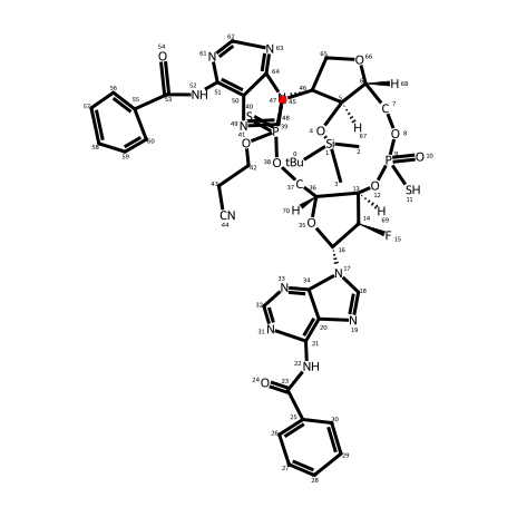 CC(C)(C)[Si](C)(C)O[C@@H]1[C@H]2COP(=O)(S)O[C@H]3[C@@H](F)[C@H](n4cnc5c(NC(=O)c6ccccc6)ncnc54)O[C@@H]3COP(=S)(OCCC#N)O[C@@]1(n1cnc3c(NC(=O)c4ccccc4)ncnc31)CO2